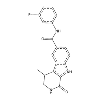 CC1CNC(=O)c2[nH]c3ccc(C(=O)Nc4cccc(F)c4)cc3c21